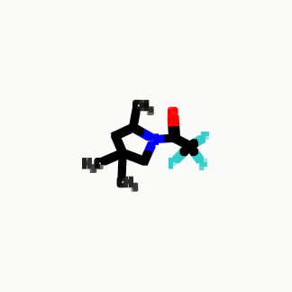 CC1CC(C)(C)CN1C(=O)C(F)(F)F